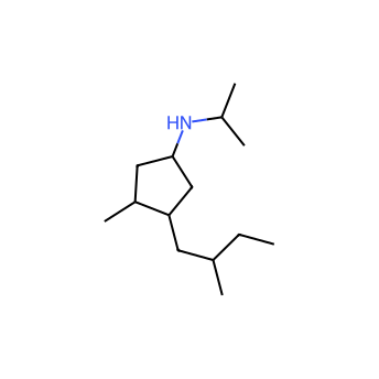 CCC(C)CC1CC(NC(C)C)CC1C